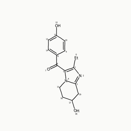 CCc1nc2n(c1C(=O)c1ccc(O)cc1)CCC(O)C2